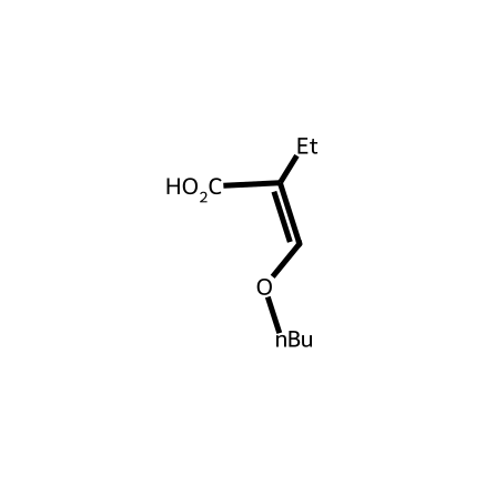 CCCCOC=C(CC)C(=O)O